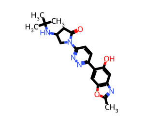 Cc1nc2cc(O)c(-c3ccc(N4CC(NC(C)(C)C)CC4=O)nn3)cc2o1